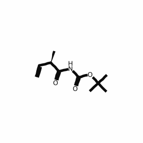 C=C[C@@H](C)C(=O)NC(=O)OC(C)(C)C